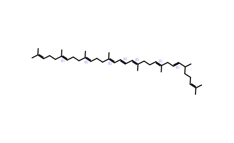 CC(C)=CCC/C(C)=C/CC/C(C)=C/CC/C(C)=C/C=C/C=C(\C)CC/C=C(\C)C/C=C/C(C)CCC=C(C)C